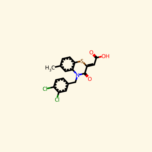 Cc1ccc2c(c1)N(Cc1ccc(Cl)c(Cl)c1)C(=O)C(=CC(=O)O)S2